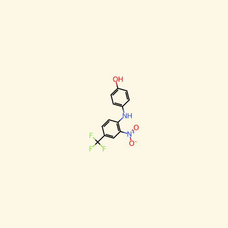 O=[N+]([O-])c1cc(C(F)(F)F)ccc1Nc1ccc(O)cc1